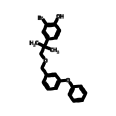 CC(C)(COCc1cccc(Oc2ccccc2)c1)c1ccc(O)c(Br)c1